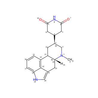 CN1C[C@H](C2CC(=O)NC(=O)C2)CC2c3cccc4[nH]cc(c34)C[C@H]21